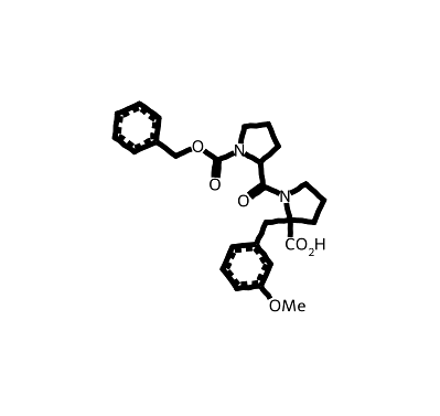 COc1cccc(CC2(C(=O)O)CCCN2C(=O)C2CCCN2C(=O)OCc2ccccc2)c1